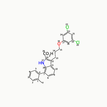 Cc1ccccc1-c1cccc2c(CCCOc3cc(Cl)cc(Cl)c3)c(C(=O)O)[nH]c12